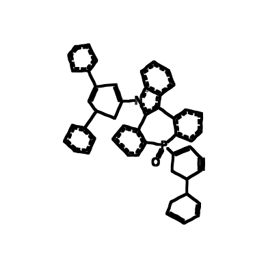 O=P1(C2=CC#CC(C3C=CC=CC3)C2)c2ccccc2-c2c(n(C3=CC(c4ccccc4)=CC(c4ccccc4)C3)c3ccccc23)-c2ccccc21